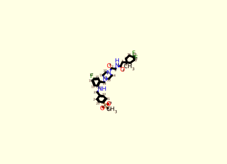 CC1(CC(=O)NCC(=O)N2CCN(Cc3cc(F)ccc3NCc3ccc(S(C)(=O)=O)cc3)CC2)CCC(F)(F)CC1